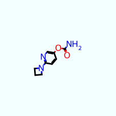 NC(=O)Oc1ccc(N2CCC2)nc1